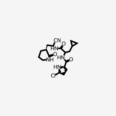 N#CC(C[C@@H]1CCCNC1=O)NC(=O)C(CC1CC1)NC(=O)c1ccc(Cl)[nH]1